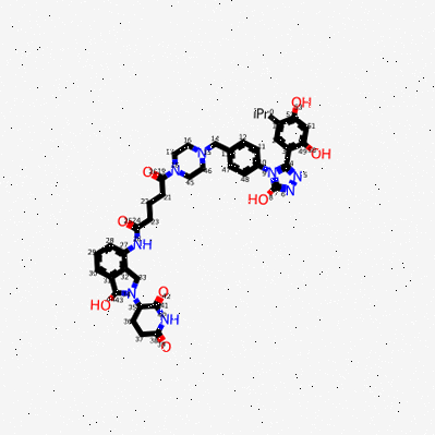 CC(C)c1cc(-c2nnc(O)n2-c2ccc(CN3CCN(C(=O)CCCC(=O)Nc4cccc5c4CN(C4CCC(=O)NC4=O)C5O)CC3)cc2)c(O)cc1O